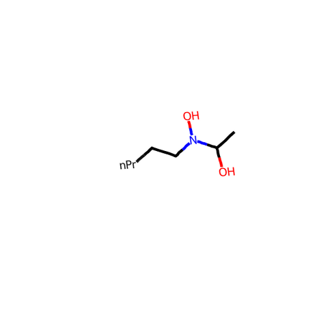 CCCCCN(O)C(C)O